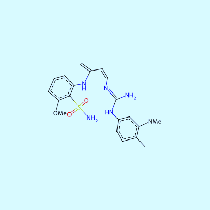 C=C(/C=C\N=C(/N)Nc1ccc(C)c(NC)c1)Nc1cccc(OC)c1S(N)(=O)=O